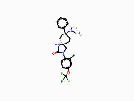 CN(C)[C@]1(c2ccccc2)CC[C@]2(CC1)CN(c1ccc(OC(F)(F)F)cc1F)C(=O)N2